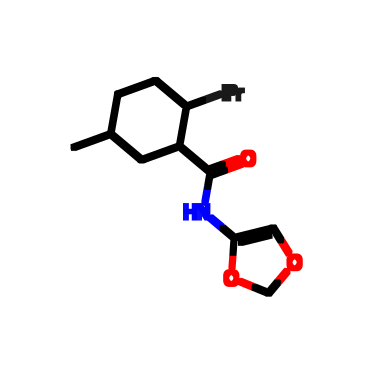 CC1CCC(C(C)C)C(C(=O)NC2=COCO2)C1